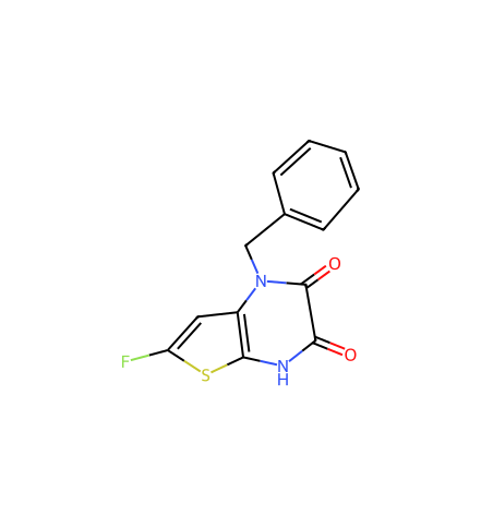 O=c1[nH]c2sc(F)cc2n(Cc2ccccc2)c1=O